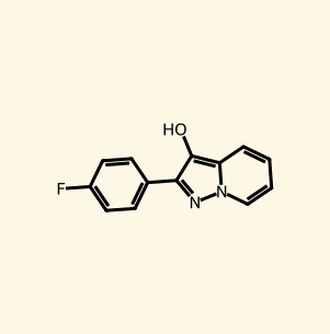 Oc1c(-c2ccc(F)cc2)nn2ccccc12